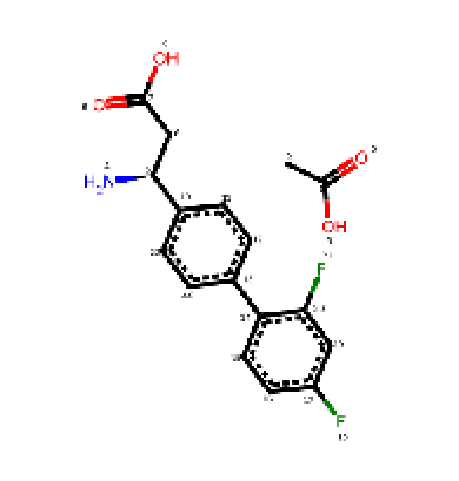 CC(=O)O.N[C@@H](CC(=O)O)c1ccc(-c2ccc(F)cc2F)cc1